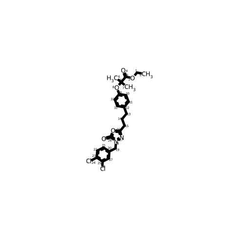 CCOC(=O)C(C)(C)Oc1ccc(CCCc2nn(Cc3ccc(Cl)c(Cl)c3)c(=O)o2)cc1